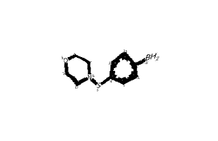 Bc1ccc(SN2CCOCC2)cc1